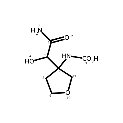 NC(=O)C(O)C1(NC(=O)O)CCOC1